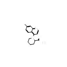 O=C(O)C1CCCCN1c1ccnc2cc(Cl)ccc12